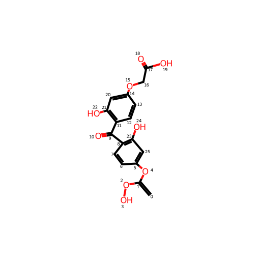 C=C(OO)Oc1ccc(C(=O)c2ccc(OCC(=O)O)cc2O)c(O)c1